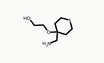 NCC1(OCCO)CCSCC1